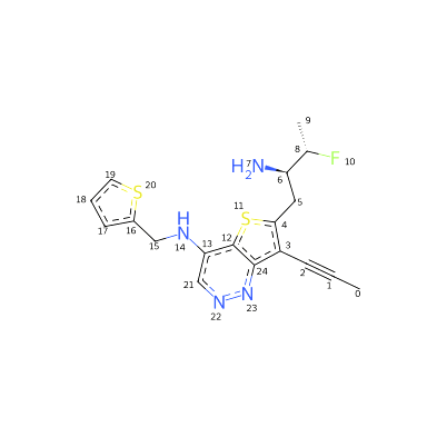 CC#Cc1c(C[C@@H](N)[C@H](C)F)sc2c(NCc3cccs3)cnnc12